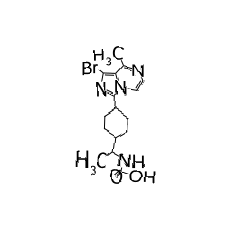 Cc1nccn2c(C3CCC(C(C)NC(=O)O)CC3)nc(Br)c12